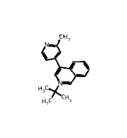 Cc1cc(-c2c[n+](C(C)(C)C)cc3ccccc23)ccn1